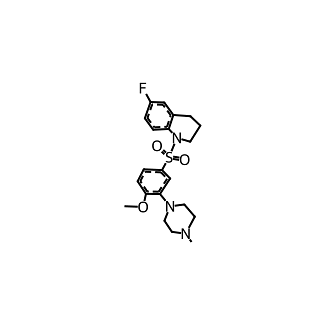 COc1ccc(S(=O)(=O)N2CCCc3cc(F)ccc32)cc1N1CCN(C)CC1